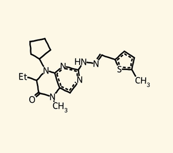 CCC1C(=O)N(C)c2cnc(NN=Cc3ccc(C)s3)nc2N1C1CCCC1